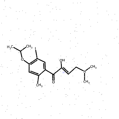 Cc1cc(OC(C)C)c(I)cc1C(=O)/C(O)=C/CN(C)C